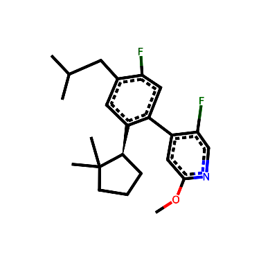 COc1cc(-c2cc(F)c(CC(C)C)cc2[C@H]2CCCC2(C)C)c(F)cn1